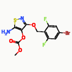 COC(=O)Oc1c(OCc2c(F)cc(Br)cc2F)nsc1N